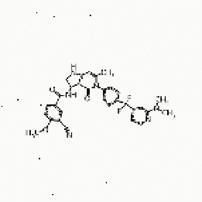 COc1ccc(C(=O)N[C@H]2CNN3C=C(C)N(c4ccc(C(F)(F)c5ccnc(N(C)C)c5)cc4)C(=O)C23)cc1C#N